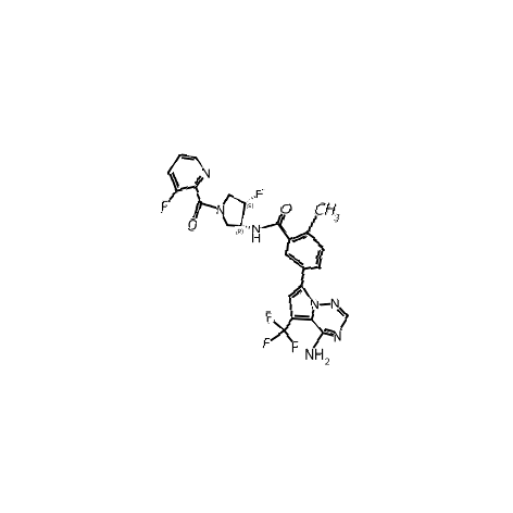 Cc1ccc(-c2cc(C(F)(F)F)c3c(N)ncnn23)cc1C(=O)N[C@@H]1CN(C(=O)c2ncccc2F)C[C@@H]1F